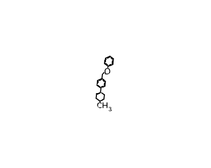 CC1CC=C(c2ccc(COc3ccccc3)cc2)CC1